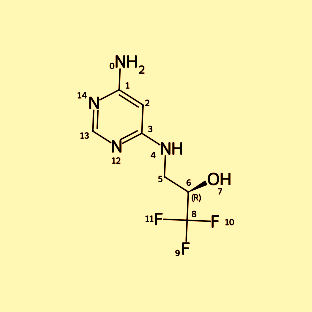 Nc1cc(NC[C@@H](O)C(F)(F)F)ncn1